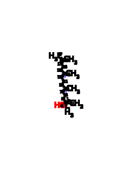 C=CC(C)(O)CC/C=C(\C)CC/C=C(\C)CCC=C(C)C